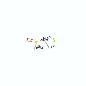 CCCC[S+]([O-])CCCC.c1ccsc1